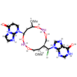 COC1C[C@H](n2ccc(=O)n3ccnc23)OPOC[C@@H](OC)[C@H]([C@H](F)n2cnc3c(=O)[nH]cnc32)COPO1